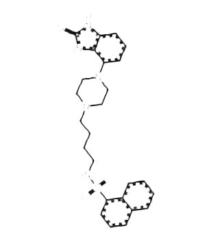 O=c1[nH]c2cccc(N3CCN(CCCCNS(=O)(=O)c4cccc5ccccc45)CC3)c2[nH]1